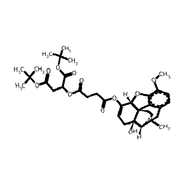 COc1ccc2c3c1O[C@H]1C(OC(=O)CCC(=O)OC(CC(=O)OC(C)(C)C)C(=O)OC(C)(C)C)=CC[C@@]4(O)[C@@H](C2)N(C)CC[C@]314